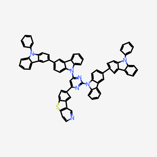 c1ccc(-n2c3ccccc3c3cc(-c4ccc5c(c4)c4ccccc4n5-c4cc(-c5ccc6sc7ccncc7c6c5)nc(-n5c6ccccc6c6cc(-c7ccc8c(c7)c7ccccc7n8-c7ccccc7)ccc65)n4)ccc32)cc1